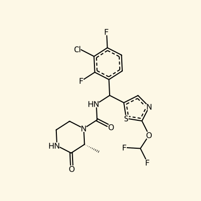 C[C@@H]1C(=O)NCCN1C(=O)NC(c1cnc(OC(F)F)s1)c1ccc(F)c(Cl)c1F